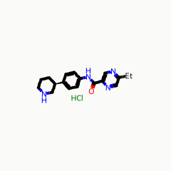 CCc1cnc(C(=O)Nc2ccc([C@@H]3CCCNC3)cc2)cn1.Cl